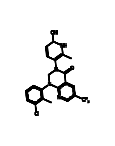 CC1=C(N2CN(c3cccc(Cl)c3C)c3ncc(C(F)(F)F)cc3C2=O)C=CC(O)N1